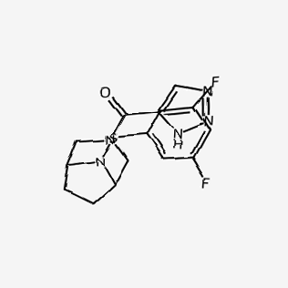 O=C(c1cnn[nH]1)N1CC2CCC(C1)N2Sc1cc(F)cc(F)c1